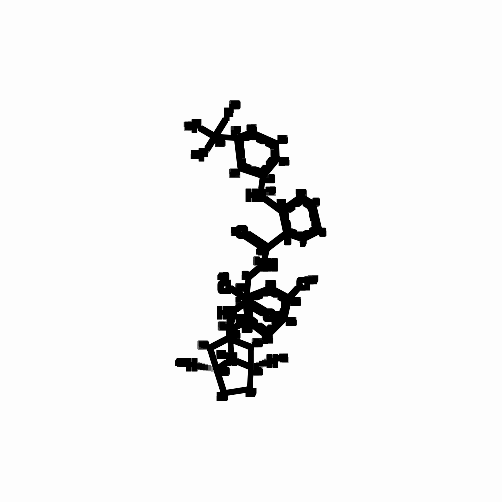 O=C(CNC(=O)c1ccccc1Nc1cccc(C(F)(F)F)c1)N[C@H]1C[C@H]2CC[C@@H](C1)N2Cc1ccc(Cl)cc1Cl